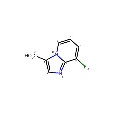 O=C(O)c1cnc2c(F)cccn12